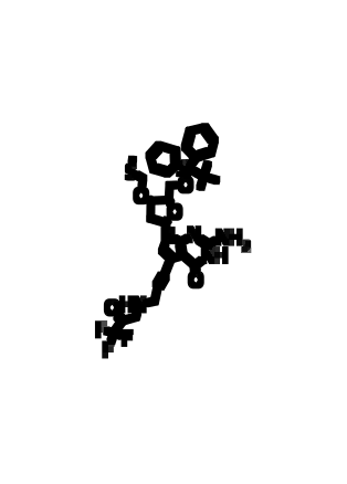 CSCOC1CC(n2cc(C#CCNCC(=O)C(F)(F)F)c3c(=O)[nH]c(N)nc32)OC1CO[Si](c1ccccc1)(c1ccccc1)C(C)(C)C